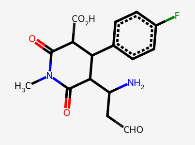 CN1C(=O)C(C(=O)O)C(c2ccc(F)cc2)C(C(N)CC=O)C1=O